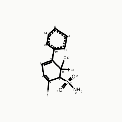 NS(=O)(=O)C1C(F)=CC=C(c2ccccc2)C1(F)F